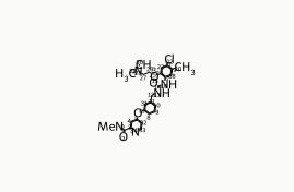 CNC(=O)c1cc(Oc2cccc(CNC(=O)Nc3cc(C)c(Cl)cc3OCCN(C)C)c2)ccn1